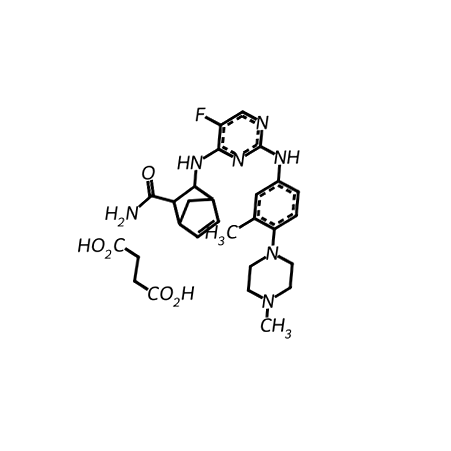 Cc1cc(Nc2ncc(F)c(NC3C4C=CC(C4)C3C(N)=O)n2)ccc1N1CCN(C)CC1.O=C(O)CCC(=O)O